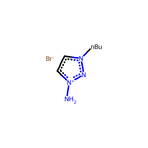 CCCCn1cc[n+](N)n1.[Br-]